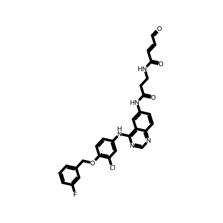 O=CC=CC(=O)NCCC(=O)Nc1ccc2ncnc(Nc3ccc(OCc4cccc(F)c4)c(Cl)c3)c2c1